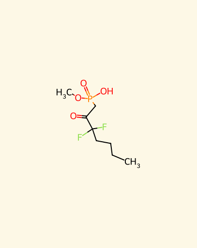 CCCCC(F)(F)C(=O)CP(=O)(O)OC